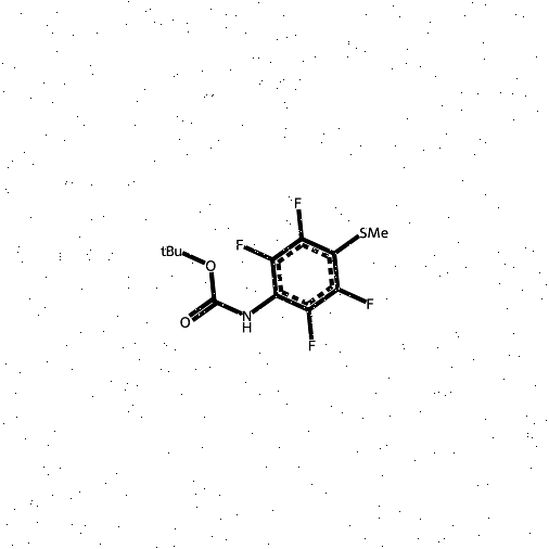 CSc1c(F)c(F)c(NC(=O)OC(C)(C)C)c(F)c1F